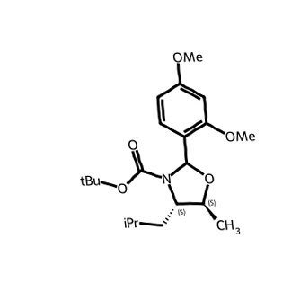 COc1ccc(C2O[C@@H](C)[C@H](CC(C)C)N2C(=O)OC(C)(C)C)c(OC)c1